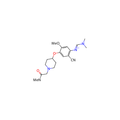 CNC(=O)CN1CCC(Oc2cc(C#N)c(/N=C/N(C)C)cc2OC)CC1